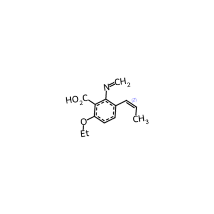 C=Nc1c(/C=C\C)ccc(OCC)c1C(=O)O